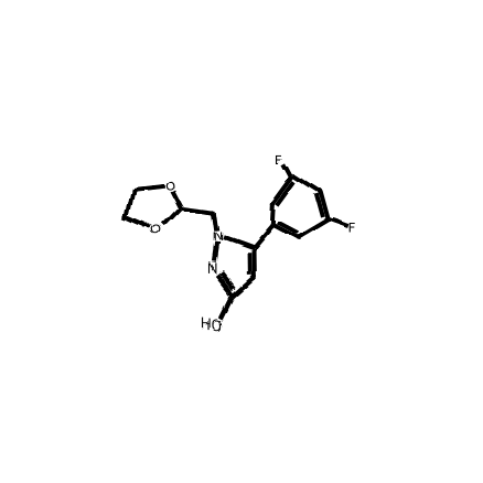 Oc1cc(-c2cc(F)cc(F)c2)n(CC2OCCO2)n1